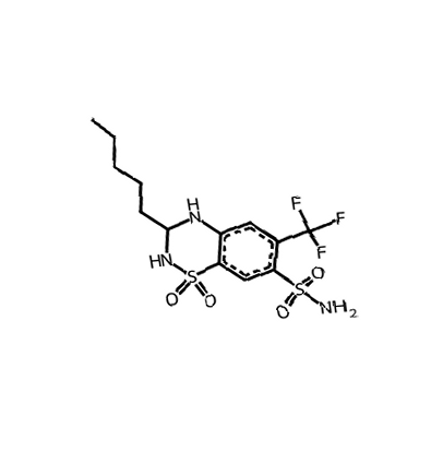 CCCCCC1Nc2cc(C(F)(F)F)c(S(N)(=O)=O)cc2S(=O)(=O)N1